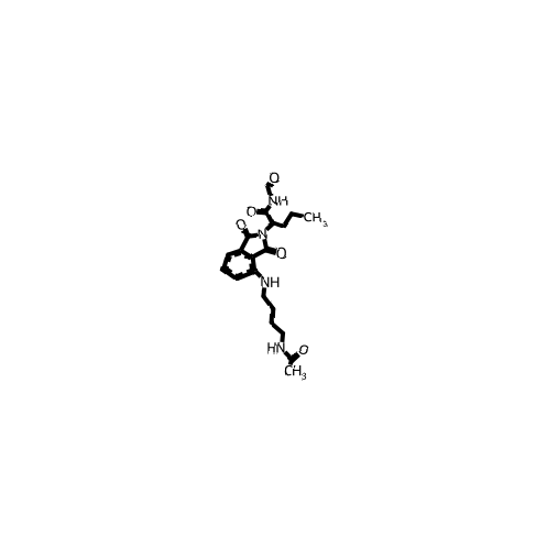 CCCC(C(=O)NC=O)N1C(=O)c2cccc(NCCCCNC(C)=O)c2C1=O